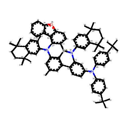 Cc1cc2c3c(c1)N(c1cc4c(cc1C)C(C)(C)CCC4(C)C)c1c(ccc4oc5ccccc5c14)B3N(c1ccc3c(c1)C(C)(C)CCC3(C)C)c1cc(N(c3ccc(C(C)(C)C)cc3)c3ccc(C(C)(C)C)cc3)ccc1-2